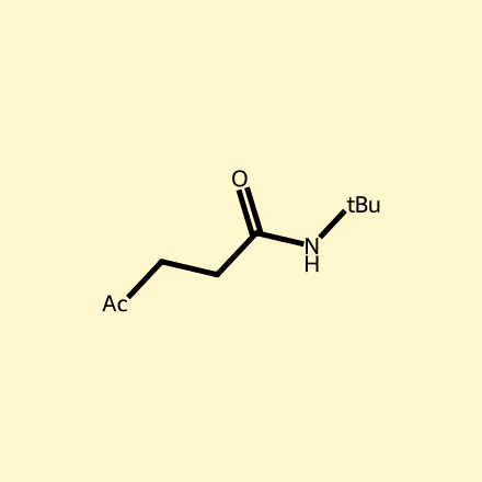 CC(=O)CCC(=O)NC(C)(C)C